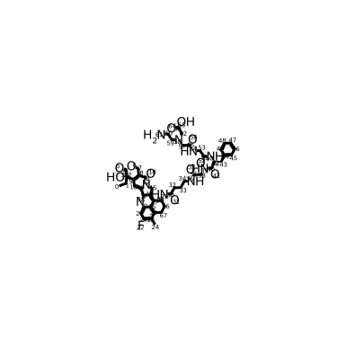 CC[C@@]1(O)C(=O)OCc2c1cc1n(c2=O)Cc2c-1nc1cc(F)c(C)c3c1c2[C@@H](NC(=O)CCCNC(=O)CNC(=O)[C@H](Cc1ccccc1)NC(=O)CNC(=O)CN(CCN)CC(=O)O)CC3